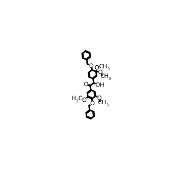 COc1cc(C(=O)C(O)C2=CC(OC)(OC)C(OCc3ccccc3)C=C2)cc(OC)c1OCc1ccccc1